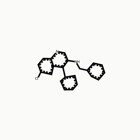 Clc1ccc2ncc(NCc3ccccc3)c(-c3ccccc3)c2c1